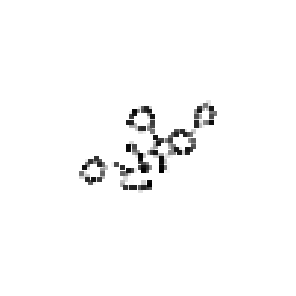 CCOC(=O)[C@H](Cc1ccccc1)NC(=O)c1[nH]c2ccc(-n3cccc3)cc2c1-c1ccccc1